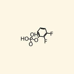 O=P(O)(O)Oc1cccc(F)c1F